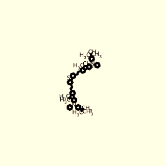 CC(C)(C)c1ccc(N(c2ccccc2)c2ccc3c(c2)C(C)(C)c2cc(/C=C/c4ccc5sc6ccc(/C=C/c7ccc8c(c7)C(C)(C)c7cc(N(C9=CCC(C(C)(C)C)C=C9)c9ccccc9)ccc7-8)cc6c5c4)ccc2-3)cc1